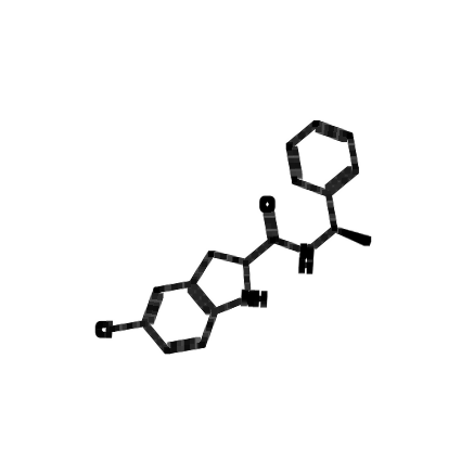 C[C@@H](NC(=O)C1Cc2cc(Cl)ccc2N1)c1ccccc1